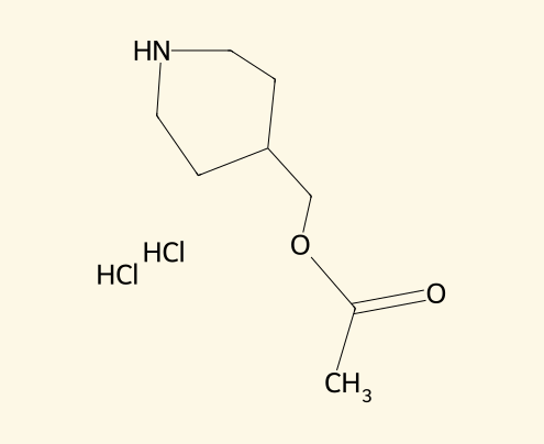 CC(=O)OCC1CCNCC1.Cl.Cl